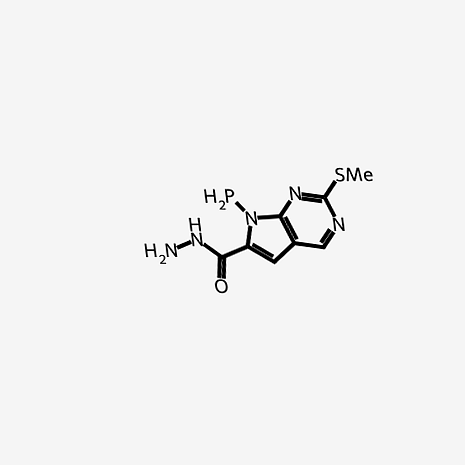 CSc1ncc2cc(C(=O)NN)n(P)c2n1